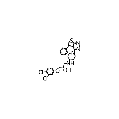 OC(CNC1CCN(c2ncnc3scc(-c4ccccc4)c23)CC1)COc1ccc(Cl)c(Cl)c1